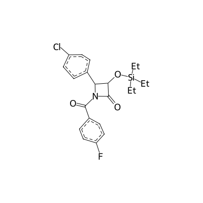 CC[Si](CC)(CC)OC1C(=O)N(C(=O)c2ccc(F)cc2)C1c1ccc(Cl)cc1